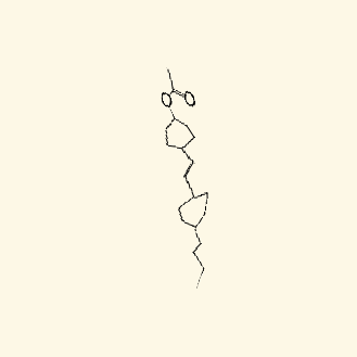 CCCCC1CCC(CCC2CCC(OC(C)=O)CC2)CC1